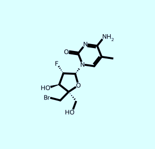 Cc1cn([C@@H]2O[C@@](CO)(CBr)[C@@H](O)[C@@H]2F)c(=O)nc1N